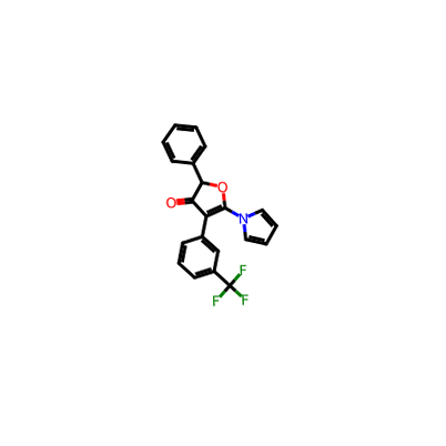 O=C1C(c2cccc(C(F)(F)F)c2)=C(n2cccc2)OC1c1ccccc1